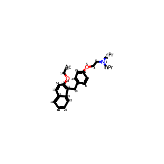 CCCN(CCC)CCOc1ccc(Cc2c(OCC(C)=O)ccc3ccccc23)cc1